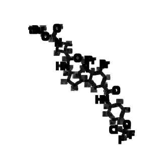 CC(C)N1c2c(Br)cc(C(=O)Nc3ccc(OC(F)(F)Cl)cc3)cc2C2CCC(NC(=O)C3CN(C(=O)OC(C)(C)C)C3)C21